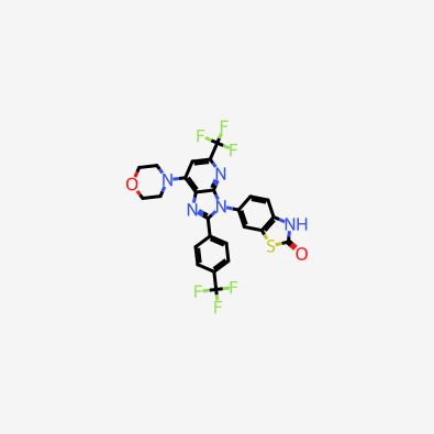 O=c1[nH]c2ccc(-n3c(-c4ccc(C(F)(F)F)cc4)nc4c(N5CCOCC5)cc(C(F)(F)F)nc43)cc2s1